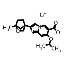 CC(C)Oc1cc2nc(C34CCC(C)(C3)OC4)cn2cc1C(=O)[O-].[Li+]